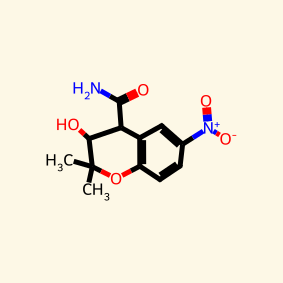 CC1(C)Oc2ccc([N+](=O)[O-])cc2C(C(N)=O)C1O